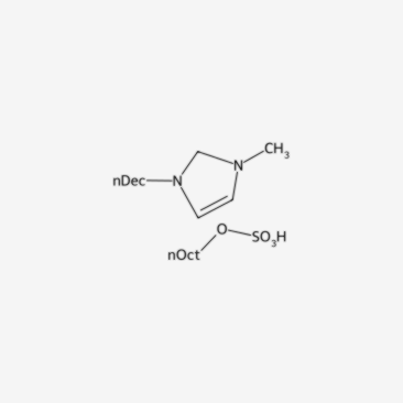 CCCCCCCCCCN1C=CN(C)C1.CCCCCCCCOS(=O)(=O)O